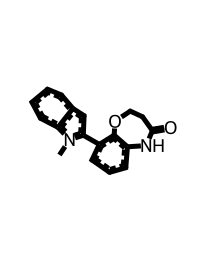 Cn1c(-c2cccc3c2OCCC(=O)N3)cc2ccccc21